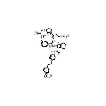 CCC(CC)N(Cc1cccc(C(=O)Nc2sc3c(c2C(=O)Nc2ccc(CCc4ccc(C(=O)O)cc4)cc2)CCCC3)c1)C[C@@H]1CCCN1C(=O)CCC(=O)O